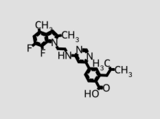 Cc1cc(F)c(F)c2c1cc(C)n2CCNc1cc(-c2ccc(C(=O)O)c(CC(C)C)c2)ncn1